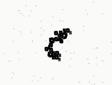 O=C(COc1cccc(OCC(=O)Oc2cccc([N+](=O)[O-])c2[N+](=O)[O-])c1)Oc1cccc([N+](=O)[O-])c1[N+](=O)[O-]